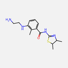 Cc1c(NCCN)cccc1C(=O)NC1=NC(C)C(C)S1